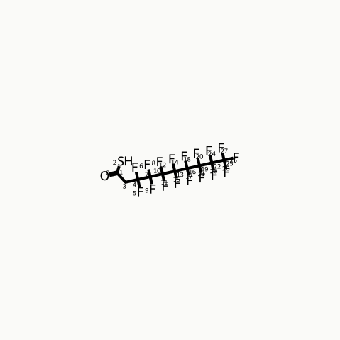 O=C(S)CC(F)(F)C(F)(F)C(F)(F)C(F)(F)C(F)(F)C(F)(F)C(F)(F)C(F)(F)F